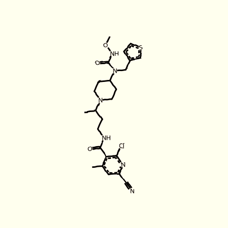 CONC(=O)N(Cc1ccsc1)C1CCN(C(C)CCNC(=O)c2c(C)cc(C#N)nc2Cl)CC1